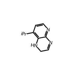 CC(C)c1ccnc2c1NCC=N2